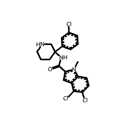 Cn1c(C(=O)NC2(c3cccc(Cl)c3)CCCNC2)cc2c(Cl)c(Cl)ccc21